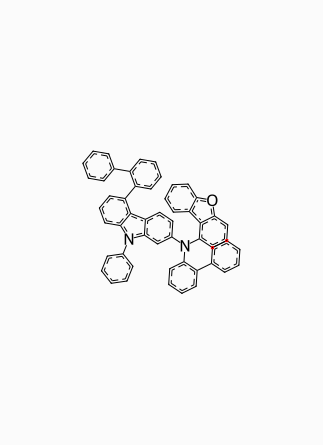 c1ccc(-c2ccccc2-c2cccc3c2c2ccc(N(c4ccccc4-c4ccccc4)c4cccc5oc6ccccc6c45)cc2n3-c2ccccc2)cc1